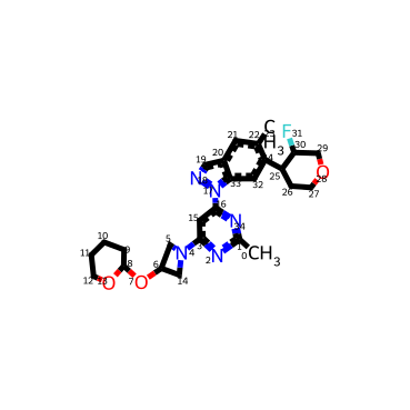 Cc1nc(N2CC(OC3CCCCO3)C2)cc(-n2ncc3cc(C)c(C4CCOCC4F)cc32)n1